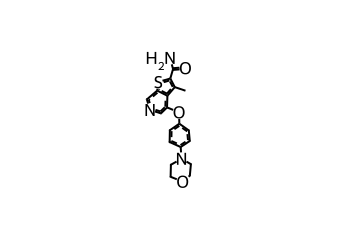 Cc1c(C(N)=O)sc2cncc(Oc3ccc(N4CCOCC4)cc3)c12